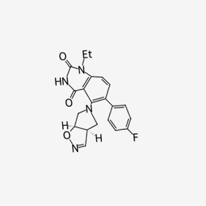 CCn1c(=O)[nH]c(=O)c2c(N3C[C@H]4C=NO[C@H]4C3)c(-c3ccc(F)cc3)ccc21